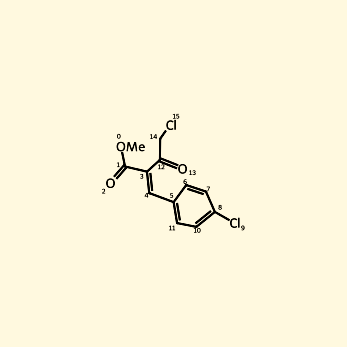 COC(=O)/C(=C/c1ccc(Cl)cc1)C(=O)CCl